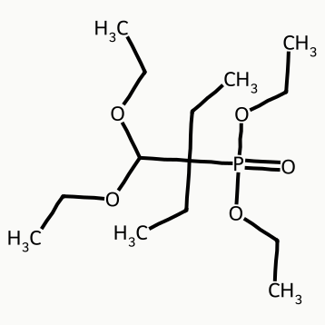 CCOC(OCC)C(CC)(CC)P(=O)(OCC)OCC